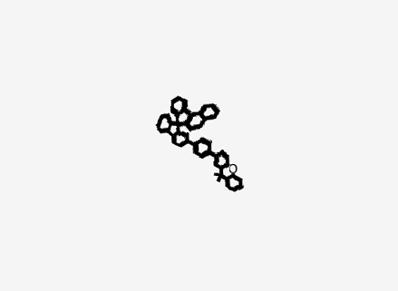 CC1(C)c2ccccc2Oc2ccc(-c3ccc(-c4ccc5c(c4)C4(c6ccccc6-5)c5ccccc5-c5c4ccc4ccccc54)cc3)cc21